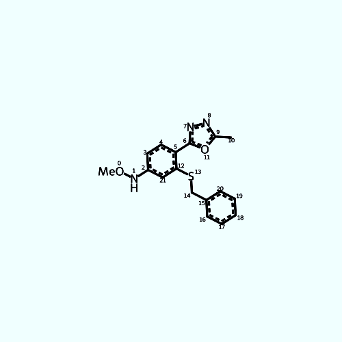 CONc1ccc(-c2nnc(C)o2)c(SCc2ccccc2)c1